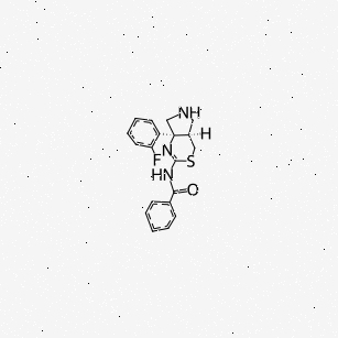 O=C(NC1=N[C@@]2(c3ccccc3F)CNC[C@H]2CS1)c1ccccc1